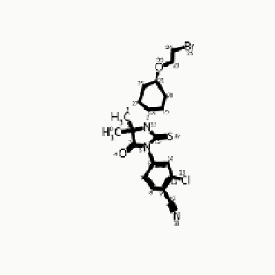 CC1(C)C(=O)N(c2ccc(C#N)c(Cl)c2)C(=S)N1[C@H]1CC[C@H](OCCBr)CC1